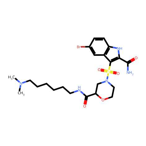 CN(C)CCCCCCNC(=O)C1CN(S(=O)(=O)c2c(C(N)=O)[nH]c3ccc(Br)cc23)CCO1